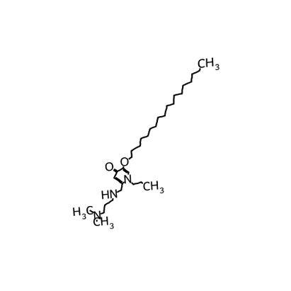 CCCCCCCCCCCCCCCCCCOc1cn(CCC)c(CNCCCN(C)C)cc1=O